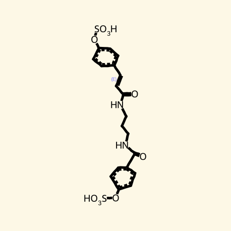 O=C(/C=C/c1ccc(OS(=O)(=O)O)cc1)NCCCNC(=O)c1ccc(OS(=O)(=O)O)cc1